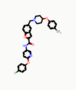 O=C(Nc1ccc(Oc2ccc(F)cc2)nc1)c1cc2cc(CN3CCC(Oc4ccc(C(F)(F)F)cc4)CC3)ccc2o1